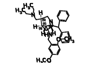 CCN(CC)C[C@H]1CN2CC[C@@H]1[C@@H](NCc1cc(OC)ccc1OC)[C@H]2C(c1ccccc1)c1ccccc1